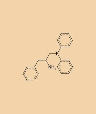 NC(Cc1ccccc1)CP(c1ccccc1)c1ccccc1